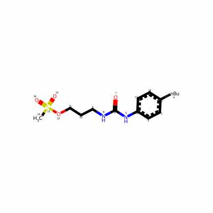 CCCCc1ccc(NC(=O)NCCCOS(C)(=O)=O)cc1